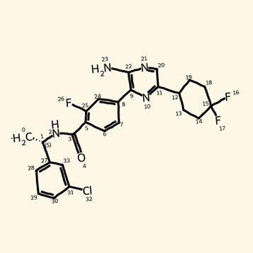 [CH2][C@H](NC(=O)c1ccc(-c2nc(C3CCC(F)(F)CC3)cnc2N)cc1F)c1cccc(Cl)c1